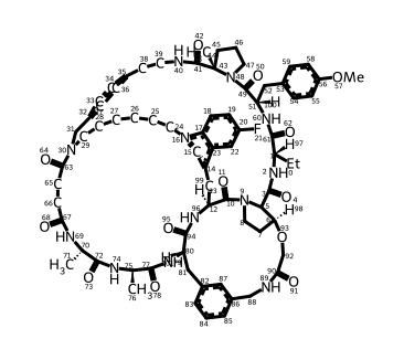 CC[C@@H]1NC(=O)C2[C@@H]3CCN2C(=O)[C@@H]2Cc4cn(c5ccc(F)cc45)CCCCCCN(Cc4ccc(cc4)CCNC(=O)[C@]4(C)CCCN4C(=O)[C@H](Cc4ccc(OC)cc4)NC1=O)C(=O)CCC(=O)N[C@@H](C)C(=O)N[C@H](C)C(=O)N[C@@H](Cc1cccc(c1)CNC(=O)CO3)C(=O)N2